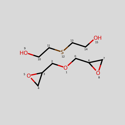 C(OCC1CO1)C1CO1.OCCSCCO